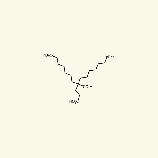 CCCCCCCCCCCCCCCCC(CCCCCCCCCCCCCCCC)(CCC(=O)O)C(=O)O